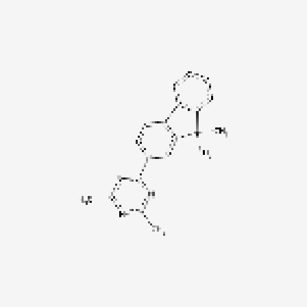 Cc1nc(C)nc(-c2ccc3c(c2)C(C)(C)c2ccccc2-3)n1